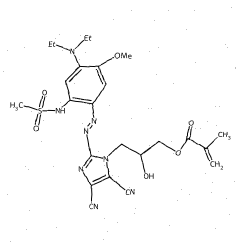 C=C(C)C(=O)OCC(O)Cn1c(/N=N/c2cc(OC)c(N(CC)CC)cc2NS(C)(=O)=O)nc(C#N)c1C#N